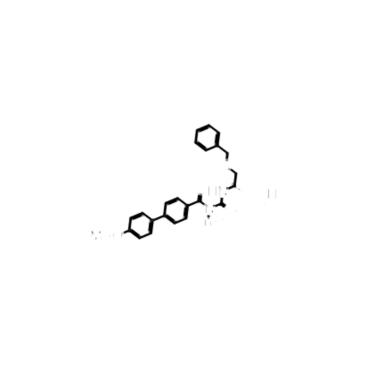 CCCN(C(=O)N[C@@H](CSCc1ccccc1)C(=O)O)C(=O)c1ccc(-c2ccc(OC)cc2)cc1